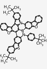 CC(C)(C)c1ccc(N2B3c4cc5oc6ccccc6c5cc4-n4c5ccc(C(C)(C)C)cc5c5c6c(oc7ccccc76)c(c3c54)-c3cc4c(cc32)sc2cc(C(C)(C)C)ccc24)cc1